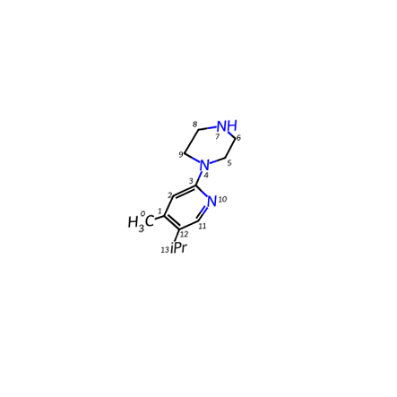 Cc1cc(N2CCNCC2)ncc1C(C)C